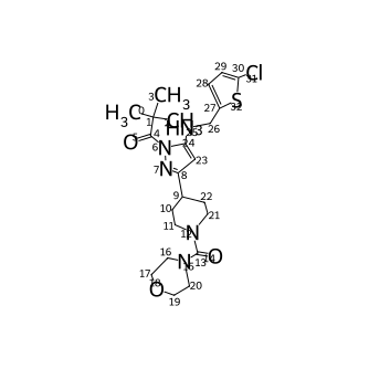 CC(C)(C)C(=O)n1nc(C2CCN(C(=O)N3CCOCC3)CC2)cc1NCc1ccc(Cl)s1